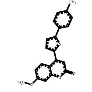 COc1ccc2c(-c3ccc(-c4ccc(C)cc4)s3)cc(=O)oc2c1